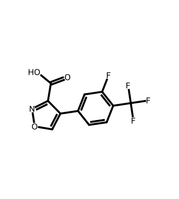 O=C(O)c1nocc1-c1ccc(C(F)(F)F)c(F)c1